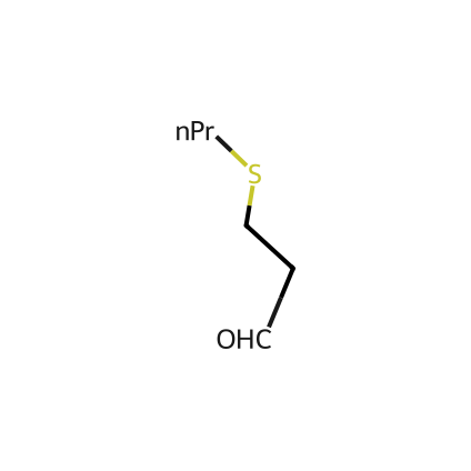 CCCSCCC=O